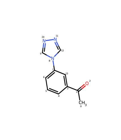 CC(=O)c1cccc(-n2cnnc2)c1